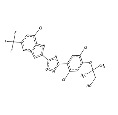 CC(C)(CO)Oc1cc(Cl)c(-c2noc(-c3cn4cc(C(F)(F)F)cc(Cl)c4n3)n2)cc1Cl